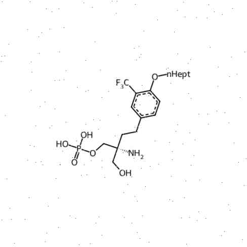 CCCCCCCOc1ccc(CC[C@@](N)(CO)COP(=O)(O)O)cc1C(F)(F)F